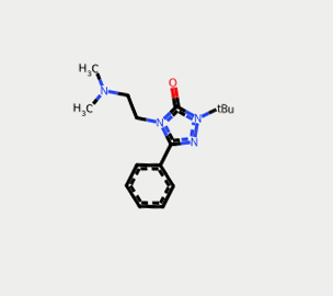 CN(C)CCn1c(-c2ccccc2)nn(C(C)(C)C)c1=O